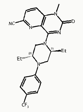 CC[C@@H]1CN(c2nc(=O)n(C)c3ccc(C#N)nc23)[C@@H](CC)CN1c1ccc(C(F)(F)F)cc1